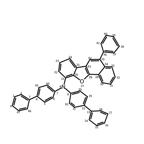 c1ccc(-c2ccc(N(c3ccc(-c4ccccc4)cc3)c3cccc4c3oc3c5ccccc5c(-c5ccccc5)cc43)cc2)cc1